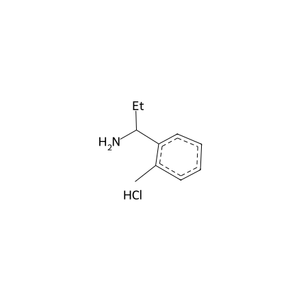 CCC(N)c1ccccc1C.Cl